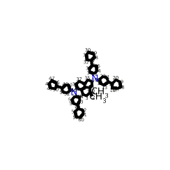 CC1(C)CCC2=C3C1=CC(N(C1=CC=C(C4C=CC=CC4)CC1)c1ccc(-c4ccccc4)cc1)CC3CC=C2N(C1=CC=C(C2C=CC=CC2)CC1)c1ccc(C2C=CC=CC2)cc1